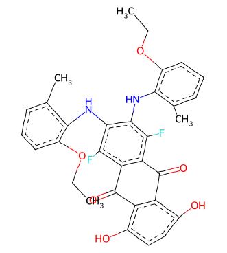 CCOc1cccc(C)c1Nc1c(F)c2c(c(F)c1Nc1c(C)cccc1OCC)C(=O)c1c(O)ccc(O)c1C2=O